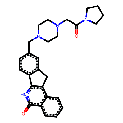 O=C(CN1CCN(Cc2ccc3c(c2)Cc2c-3[nH]c(=O)c3ccccc23)CC1)N1CCCC1